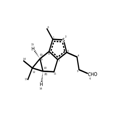 Cc1sc(CCC=O)c2c1[C@H]1[C@@H](C2)C1(C)C